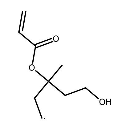 [CH2]CC(C)(CCO)OC(=O)C=C